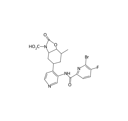 CC1CC(c2ccncc2NC(=O)c2ccc(F)c(Br)n2)CC2C1OC(=O)N2C(=O)O